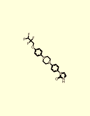 O=c1[nH]ccn1-c1ccc(N2CCN(c3ccc(OCC(F)(F)C(F)F)cc3)CC2)cc1